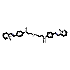 C[n+]1ccccc1/C=C/c1ccc(NCCSSCCNc2ccc(/C=C/c3cccc[n+]3C)cc2)cc1